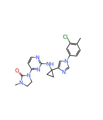 Cc1ccc(-n2cnc(C3(Nc4nccc(N5CCN(C)C5=O)n4)CC3)c2)cc1Cl